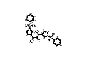 CC(C(=O)C(C)c1ccn(S(=O)(=O)c2ccccc2)c1)c1ccn(S(=O)(=O)c2ccccc2)c1